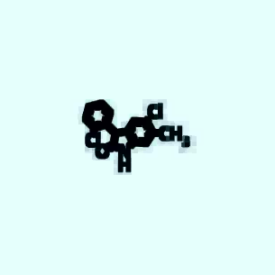 Cc1cc2c(cc1Cl)C(c1ccccc1Cl)C(=O)N2